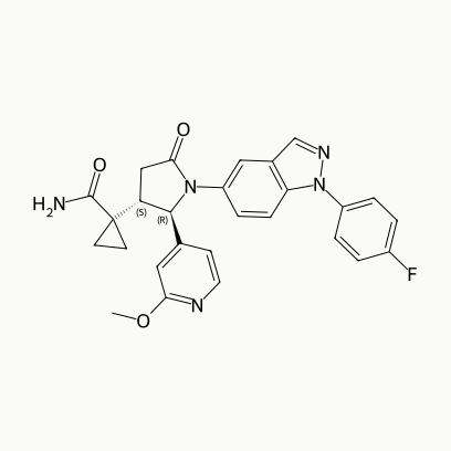 COc1cc([C@H]2[C@H](C3(C(N)=O)CC3)CC(=O)N2c2ccc3c(cnn3-c3ccc(F)cc3)c2)ccn1